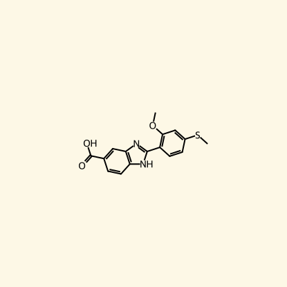 COc1cc(SC)ccc1-c1nc2cc(C(=O)O)ccc2[nH]1